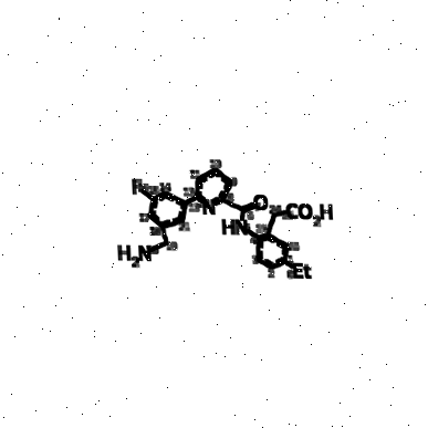 CCc1ccc(NC(=O)c2cccc(-c3cc(F)cc(CN)c3)n2)c(CC(=O)O)c1